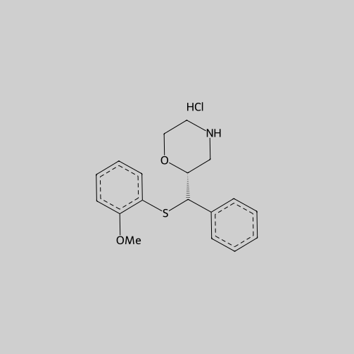 COc1ccccc1SC(c1ccccc1)[C@H]1CNCCO1.Cl